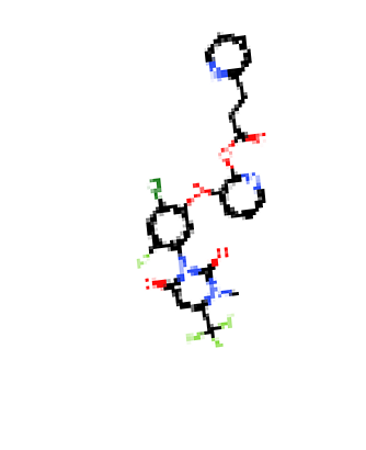 Cn1c(C(F)(F)F)cc(=O)n(-c2cc(Oc3cccnc3OC(=O)CCc3ccccn3)c(Cl)cc2F)c1=O